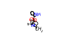 C=C1CN2C3C[C@@H]2C[C@@H](OC(=O)c2c[nH]c4ccccc24)CCCC13